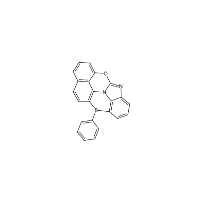 c1ccc(B2c3cccc4nc5oc6cccc7ccc2c(c76)n5c34)cc1